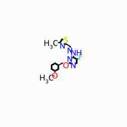 COc1cccc(COc2ncc(F)c(N/N=C/c3nc(C)cs3)n2)c1